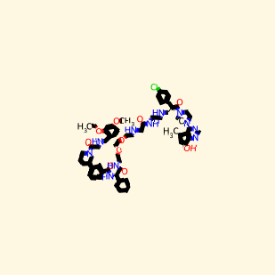 CCOc1cc(OC)ccc1CNCC(=O)N1CCCC(c2cccc(C(=O)N[C@@H](C(=O)NCCOCCOCCNCC(=O)NCCNC[C@@H](C(=O)N3CCN(c4ncnc5c4[C@H](C)C[C@H]5O)CC3)c3ccc(Cl)cc3)C3CCCCC3)c2)C1